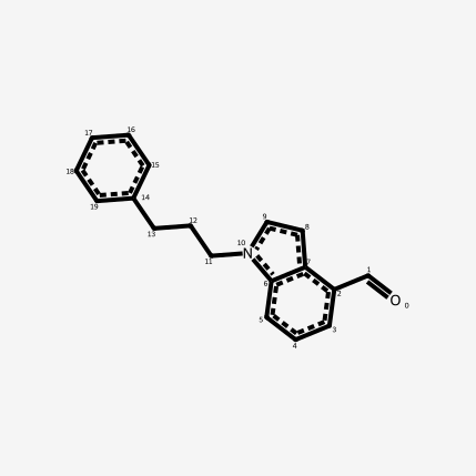 O=Cc1cccc2c1ccn2CCCc1ccccc1